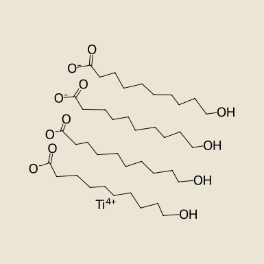 O=C([O-])CCCCCCCCCO.O=C([O-])CCCCCCCCCO.O=C([O-])CCCCCCCCCO.O=C([O-])CCCCCCCCCO.[Ti+4]